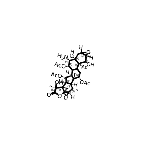 CC(=O)O[C@H]1[C@@H]2[C@H]([C@H](C)[C@H]3O[C@]34OC(=O)[C@@](C)(O)[C@]24C)[C@@]2(C)[C@@H](OC(C)=O)CC3C([C@@H](OC(C)=O)[C@@H](N)[C@@]4(O)C[C@@H]5O[C@@H]5[C@H](O)[C@]34C(C)=O)[C@H]12